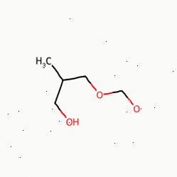 CC(CO)COC[O]